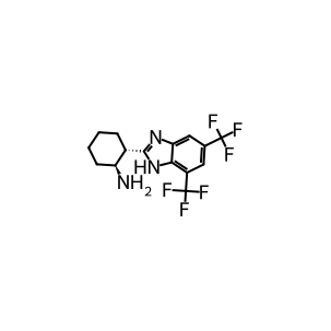 N[C@H]1CCCC[C@@H]1c1nc2cc(C(F)(F)F)cc(C(F)(F)F)c2[nH]1